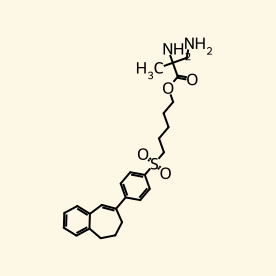 CC(N)(CN)C(=O)OCCCCCS(=O)(=O)c1ccc(C2=Cc3ccccc3CCC2)cc1